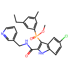 CCc1cc(C)cc(P(=O)(OC)c2c(C(=O)NCc3cccnc3)[nH]c3ccc(Cl)cc23)c1